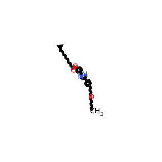 CCCCCCOCCCCc1ccc(-c2cnc(-c3ccc4c(c3)OC(CCCCCCCCCC3CC3)O4)nc2)cc1